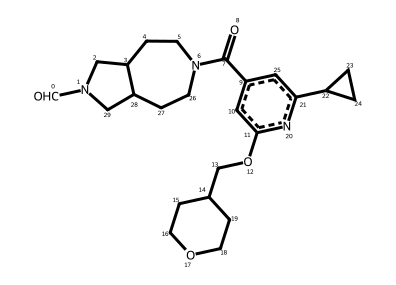 O=CN1CC2CCN(C(=O)c3cc(OCC4CCOCC4)nc(C4CC4)c3)CCC2C1